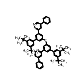 CC(C)(C)c1cc(-c2cc(Oc3cc(-c4cc(C(C)(C)C)cc(C(C)(C)C)c4)cc(-c4cc(-c5ccccc5)cnn4)c3)cc(-c3cc(-c4ccccc4)cnn3)c2)cc(C(C)(C)C)c1